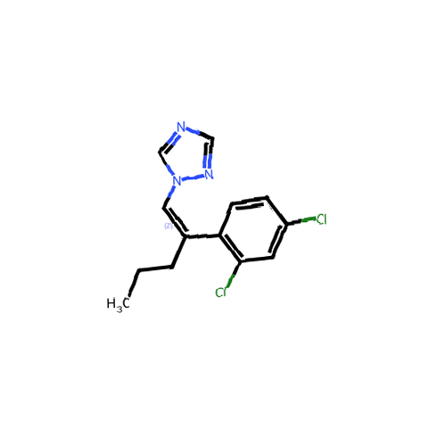 CCC/C(=C/n1cncn1)c1ccc(Cl)cc1Cl